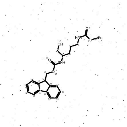 CC(C)(C)OC(=O)NCCCC(CO)NC(=O)OCC1c2ccccc2-c2ccccc21